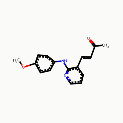 COc1ccc(Nc2ncccc2/C=C/C(C)=O)cc1